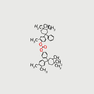 Cc1ccc(C2(c3ccc(OC(=O)Oc4ccc(C5(c6ccccc6)CCC(C)(C)C(C)C5)cc4C)cc3)CCC(C)(C)C(C)C2)cc1C